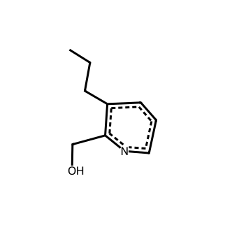 CCCc1cccnc1CO